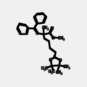 COC(=O)C(C)(CCCCB1OC(C)(C)C(C)(C)O1)N=C(c1ccccc1)c1ccccc1